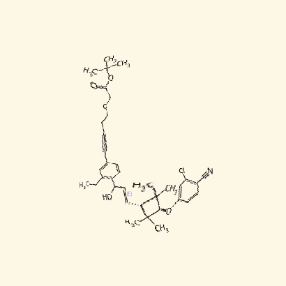 CCc1cc(C#CCCOCC(=O)OC(C)(C)C)ccc1C(O)/C=C/[C@H]1C(C)(C)[C@H](Oc2ccc(C#N)c(Cl)c2)C1(C)C